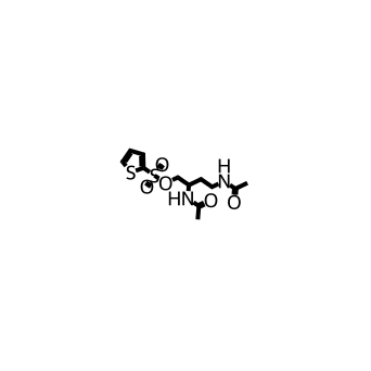 CC(=O)NCCC(COS(=O)(=O)c1cccs1)NC(C)=O